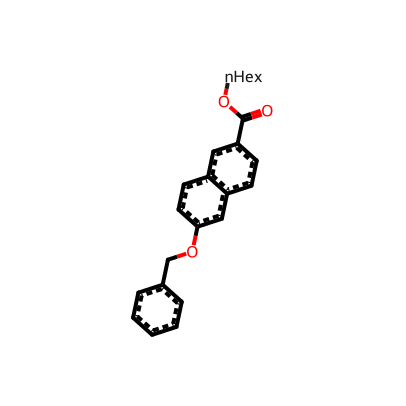 CCCCCCOC(=O)c1ccc2cc(OCc3ccccc3)ccc2c1